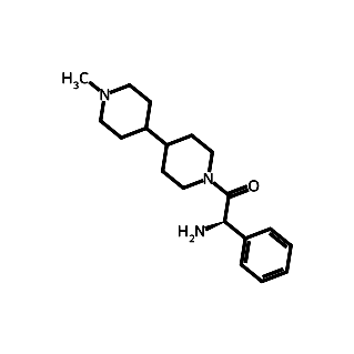 CN1CCC(C2CCN(C(=O)[C@H](N)c3ccccc3)CC2)CC1